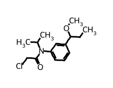 CCC(OC)c1cccc(N(C(=O)CCl)C(C)C)c1